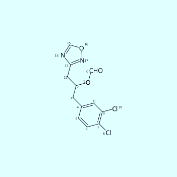 O=COC(Cc1ccc(Cl)c(Cl)c1)Cc1ncon1